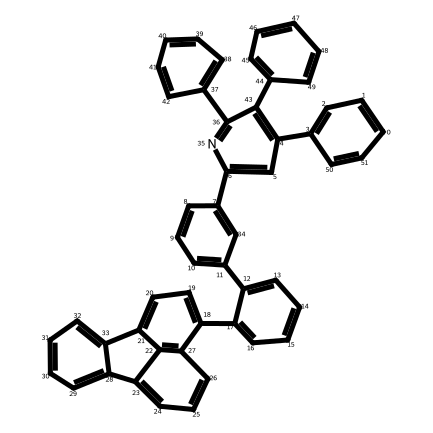 c1ccc(-c2cc(-c3cccc(-c4ccccc4-c4ccc5c6c(cccc46)-c4ccccc4-5)c3)nc(-c3ccccc3)c2-c2ccccc2)cc1